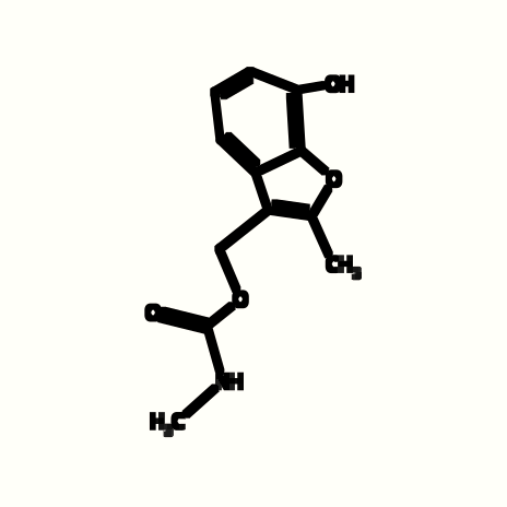 CNC(=O)OCc1c(C)oc2c(O)cccc12